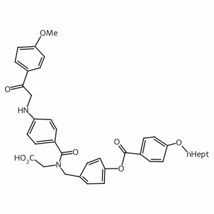 CCCCCCCOc1ccc(C(=O)Oc2ccc(CN(CC(=O)O)C(=O)c3ccc(NCC(=O)c4ccc(OC)cc4)cc3)cc2)cc1